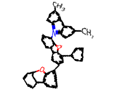 Cc1ccc2c(c1)c1cc(C)ccc1n2-c1cccc2c1oc1c(-c3ccccc3)cc(-c3cccc4c3OC3C=CC=CC43)cc12